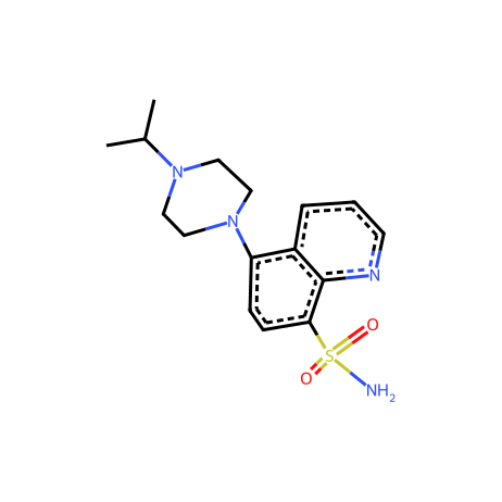 CC(C)N1CCN(c2ccc(S(N)(=O)=O)c3ncccc23)CC1